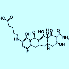 NC(=O)C1=C(O)C[C@@H]2CC3Cc4c(F)cc(NCCCCC(=O)O)c(O)c4C(=O)C3=C(O)[C@]2(O)C1=O